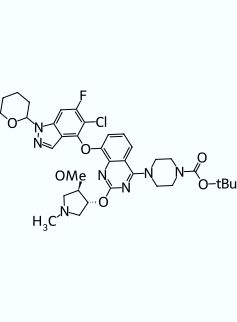 CO[C@@H]1CN(C)C[C@H]1Oc1nc(N2CCN(C(=O)OC(C)(C)C)CC2)c2cccc(Oc3c(Cl)c(F)cc4c3cnn4C3CCCCO3)c2n1